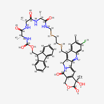 CC[C@@]1(O)C(=O)OCc2c1cc1n(c2=O)Cc2c-1nc1cc(F)c(C)cc1c2CSCCSCNC(=O)[C@@H](C)NC(=O)[C@@H](C)NC(=O)[C@@H](C)NC(=O)OCC1c2ccccc2-c2ccccc21